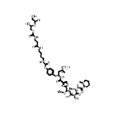 CCCO[C@H](C[C@H](C(C)C)N(CCC)C(=O)[C@@H](NC(=O)[C@H]1CCCCN1C)[C@@H](C)CC)c1nc(C(=O)N[C@@H](Cc2ccc(OC(=O)NCCCCNC(=O)CCNC(=O)OCC(O)OC(CC)CO)cc2)C[C@H](C)C(=O)O)cs1